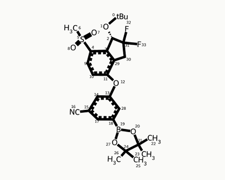 CC(C)(C)O[C@H]1c2c(S(C)(=O)=O)ccc(Oc3cc(C#N)cc(B4OC(C)(C)C(C)(C)O4)c3)c2CC1(F)F